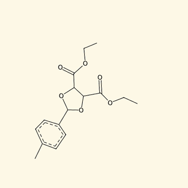 CCOC(=O)C1OC(c2ccc(C)cc2)OC1C(=O)OCC